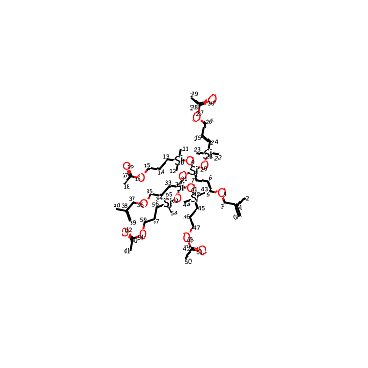 C=C(C)COCCC[Si](O[Si](C)(C)CCCOC(C)=O)(O[Si](C)(C)CCCOC(C)=O)O[Si](CCCOCC(=C)C)(O[Si](C)(C)CCCOC(C)=O)O[Si](C)(C)CCCOC(C)=O